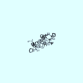 CCC(=O)O[C@]1(C(=O)CCl)[C@@H](C)C[C@H]2[C@@H]3C[C@H](F)C4=CC(=O)C=C[C@]4(C)[C@H]3[C@@H](O)C[C@@]21C